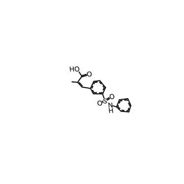 CC(=Cc1cccc(S(=O)(=O)Nc2ccccc2)c1)C(=O)O